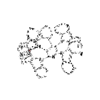 c1ccc(-c2c(-n3c4ccccc4c4ncccc43)c(-n3c4ccccc4c4ncccc43)nc(-n3c4ccccc4c4ncccc43)c2-n2c3ccccc3c3ncccc32)c(-c2nc3ccccc3o2)c1